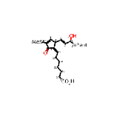 CCCCCC(O)C=CC1C=C(SC)C(=O)C1=CCCCCCC(=O)O